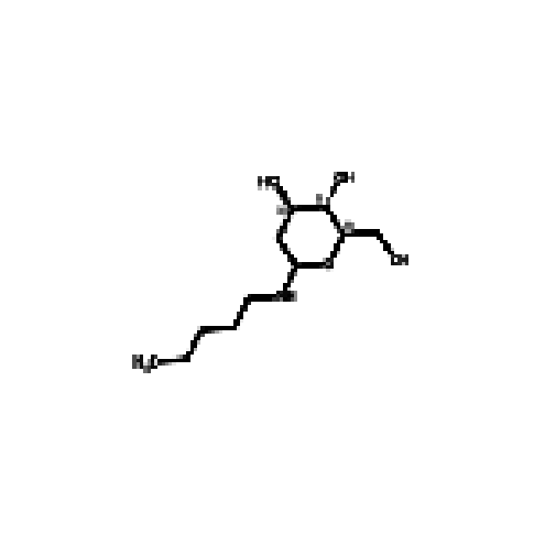 CCCCCN[C]1C[C@@H](O)[C@H](O)[C@@H](CO)O1